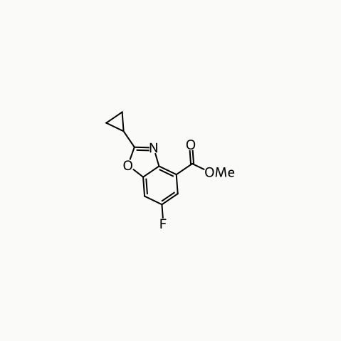 COC(=O)c1cc(F)cc2oc(C3CC3)nc12